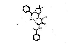 CCCC[C@@H](C(=O)C(=O)NC(C)c1ccccc1)N(C(=O)O)[C@@H]1CC(C)(C)CN1C(=O)c1ccccc1